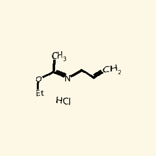 C=CCN=C(C)OCC.Cl